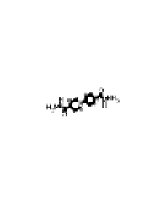 NNC(=O)c1ccc(N2CCC(C(=O)NN)CC2)cc1